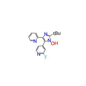 CC(C)(C)c1nc(-c2ccccn2)c(-c2ccnc(F)c2)n1O